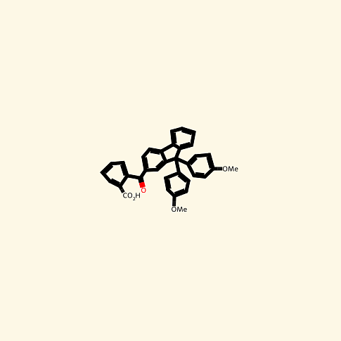 COc1ccc(C2(c3ccc(OC)cc3)c3ccccc3-c3ccc(C(=O)c4ccccc4C(=O)O)cc32)cc1